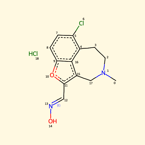 CN1CCc2c(Cl)ccc3oc(/C=N/O)c(c23)C1.Cl